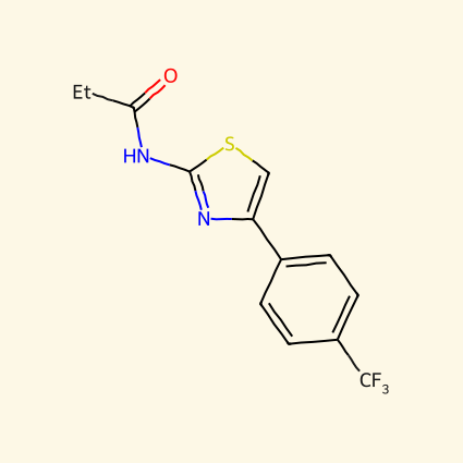 CCC(=O)Nc1nc(-c2ccc(C(F)(F)F)cc2)cs1